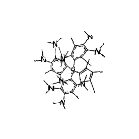 CC1=C(C)C(C)C([Si](c2c(C)c(N(C)C)c(N(C)C)c(C)c2N(C)C)(c2c(C)c(N(C)C)c(N(C)C)c(C)c2N(C)C)c2c(C)c(N(C)C)c(N(C)C)c(C)c2N(C)C)=C1C